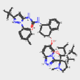 Cc1ccc(-n2nc(C(C)(C)C)cc2NC(=O)N[C@H]2CC[C@@H](Oc3ccc4nnc([C@]5(C(O)[Si](C(C)C)(C(C)C)C(C)C)CCCN5C)n4c3)c3ccccc32)cc1